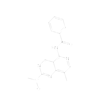 Cc1cnc(NC(=O)c2ccccc2)c2cnc([S+](C)[O-])nc12